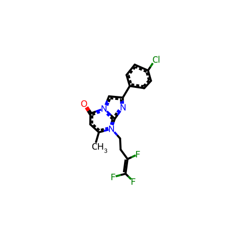 Cc1cc(=O)n2cc(-c3ccc(Cl)cc3)nc2n1CCC(F)=C(F)F